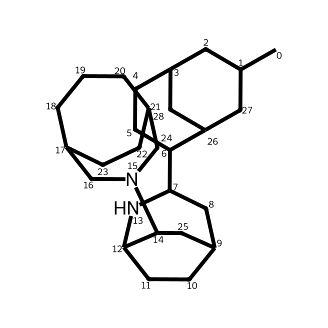 CC1CC2CCC(C3CC4CCC(N3)C(N3CC5CCCC(CC5)C3)C4)C(C1)C2